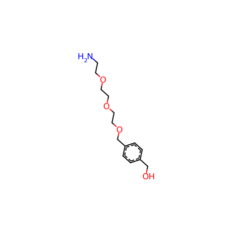 NCCOCCOCCOCc1ccc(CO)cc1